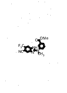 COC(=O)c1cccc(N(C)c2nc3cc(C#N)c(C(F)(F)F)cc3[nH]2)c1